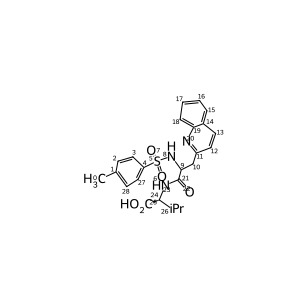 Cc1ccc(S(=O)(=O)NC(Cc2ccc3ccccc3n2)C(=O)N[C@H](C(=O)O)C(C)C)cc1